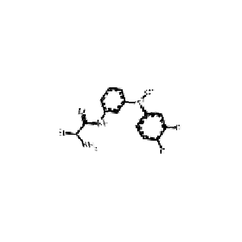 CCC(N)C(=O)Nc1cccc([S+]([O-])c2ccc(Cl)c(Cl)c2)c1